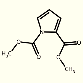 COC(=O)c1cccn1C(=O)OC